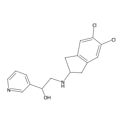 OC(CNC1Cc2cc(Cl)c(Cl)cc2C1)c1cccnc1